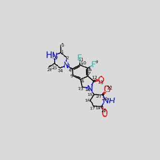 CC1CN(c2cc3c(c(F)c2F)C(=O)N(C2CCC(=O)NC2=O)C3)CC(C)N1